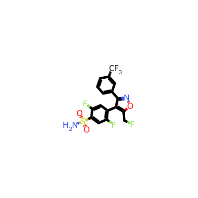 NS(=O)(=O)c1cc(F)c(-c2c(-c3cccc(C(F)(F)F)c3)noc2CF)cc1F